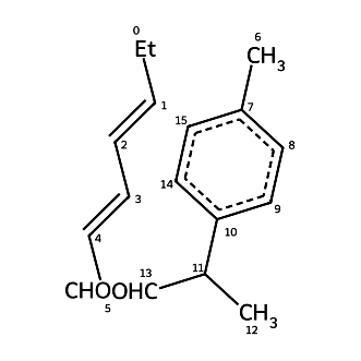 CCC=CC=CC=O.Cc1ccc(C(C)C=O)cc1